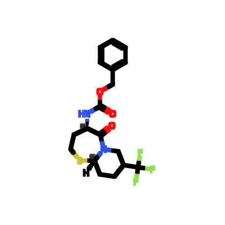 O=C(N[C@H]1CCS[C@H]2CCC(C(F)(F)F)CN2C1=O)OCc1ccccc1